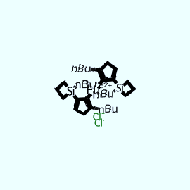 CCCCC1=[C]([Hf+2][C]2=C(CCCC)CC=C2[Si]2(CCCC)CCC2)C([Si]2(CCCC)CCC2)=CC1.[Cl-].[Cl-]